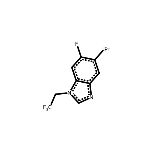 CC(C)c1cc2ncn(CC(F)(F)F)c2cc1F